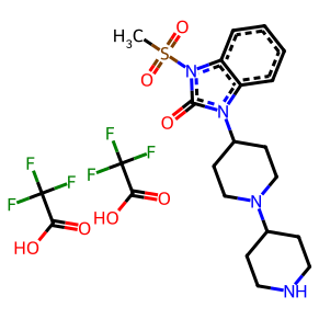 CS(=O)(=O)n1c(=O)n(C2CCN(C3CCNCC3)CC2)c2ccccc21.O=C(O)C(F)(F)F.O=C(O)C(F)(F)F